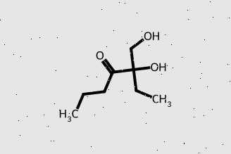 CCCC(=O)C(O)(CC)CO